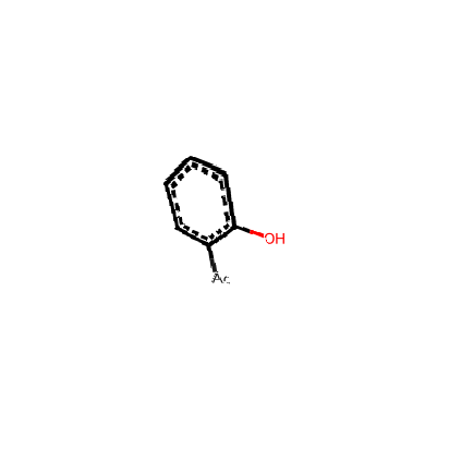 [CH2]C(=O)c1ccccc1O